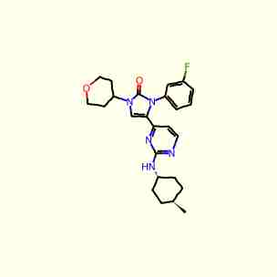 C[C@H]1CC[C@H](Nc2nccc(-c3cn(C4CCOCC4)c(=O)n3-c3cccc(F)c3)n2)CC1